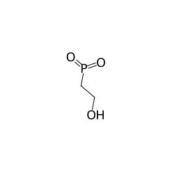 O=P(=O)CCO